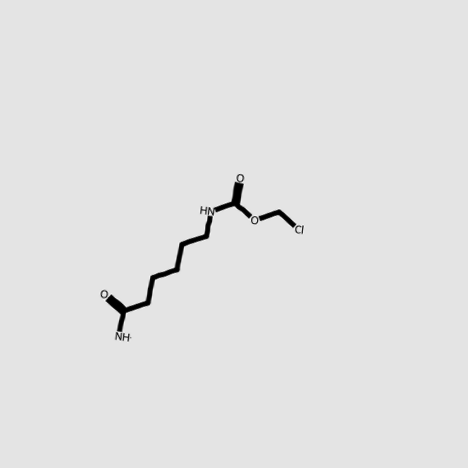 [NH]C(=O)CCCCCNC(=O)OCCl